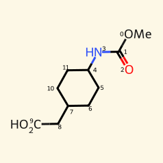 COC(=O)NC1CCC(CC(=O)O)CC1